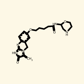 C=c1c(=O)[nH]c2n1Cc1cc(OCCCCC(=O)NC3CNCCO3)ccc1N=2